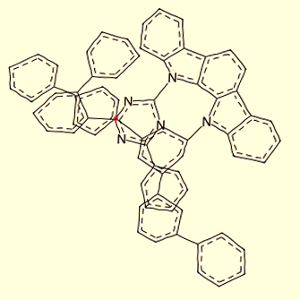 c1ccc(-c2ccc(-c3cc(-c4cccc(-c5ccccc5)c4)cc(-n4c5ccccc5c5ccc6c7ccccc7n(-c7nc(-c8ccccc8)nc(-c8ccccc8-c8ccccc8)n7)c6c54)c3)cc2)cc1